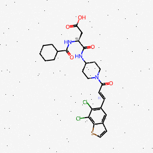 O=C(O)C[C@H](NC(=O)C1CCCCC1)C(=O)NC1CCN(C(=O)/C=C/c2cc3ccsc3c(Cl)c2Cl)CC1